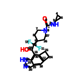 O=C(NC1CC1)N1CCC(C(F)(F)[C@H](O)c2c3c(cc4cn[nH]c24)CC3)CC1